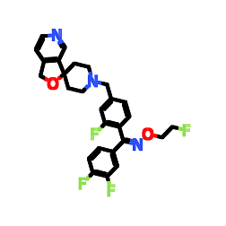 FCCO/N=C(/c1ccc(F)c(F)c1)c1ccc(CN2CCC3(CC2)OCc2ccncc23)cc1F